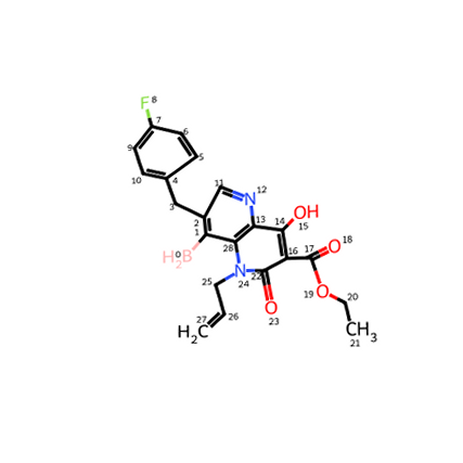 Bc1c(Cc2ccc(F)cc2)cnc2c(O)c(C(=O)OCC)c(=O)n(CC=C)c12